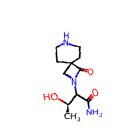 C[C@@H](O)C(C(N)=O)N1CC2(CCNCC2)C1=O